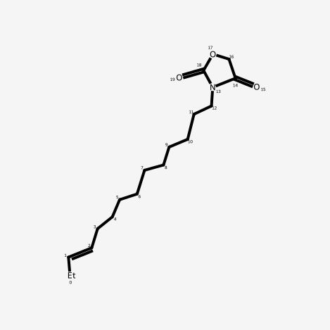 CCC=CCCCCCCCCCCN1C(=O)COC1=O